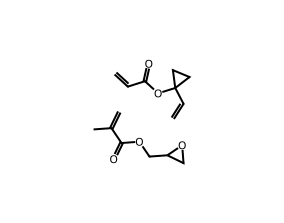 C=C(C)C(=O)OCC1CO1.C=CC(=O)OC1(C=C)CC1